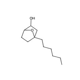 CCCCCCC12CCC(O1)C(O)C2